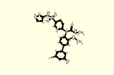 CNC(=O)N(c1ccc(S(=O)(=O)Nc2ccon2)cn1)c1ccc(-c2cc(F)cc(Cl)c2)cc1OC